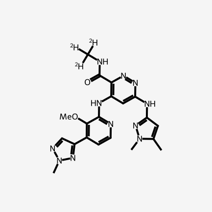 [2H]C([2H])([2H])NC(=O)c1nnc(Nc2cc(C)n(C)n2)cc1Nc1nccc(-c2cnn(C)n2)c1OC